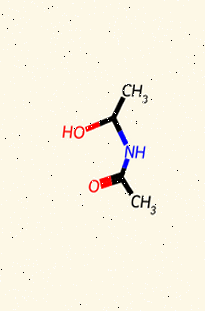 CC(=O)NC(C)O